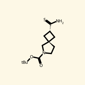 CC(C)(C)OC(=O)N1CC[C@]2(C1)C[C@@H](C(N)=S)C2